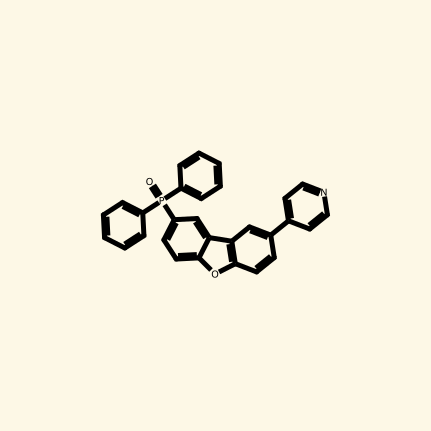 O=P(c1ccccc1)(c1ccccc1)c1ccc2oc3ccc(-c4ccncc4)cc3c2c1